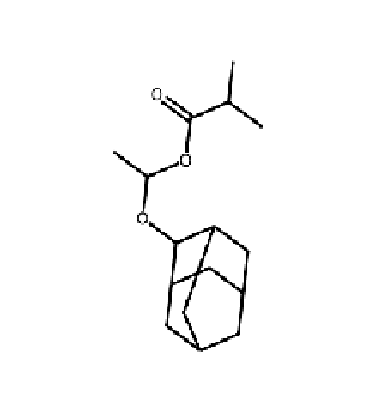 CC(OC(=O)C(C)C)OC1C2CC3CC(C2)CC1C3